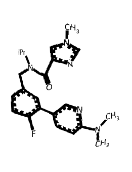 CC(C)N(Cc1ccc(F)c(-c2ccc(N(C)C)nc2)c1)C(=O)c1cn(C)cn1